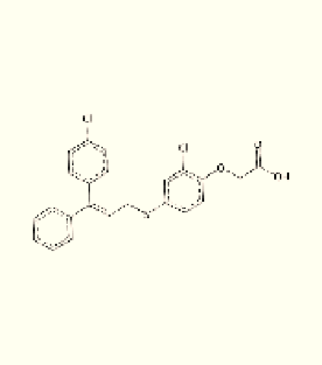 O=C(O)COc1ccc(SCC=C(c2ccccc2)c2ccc(Cl)cc2)cc1Cl